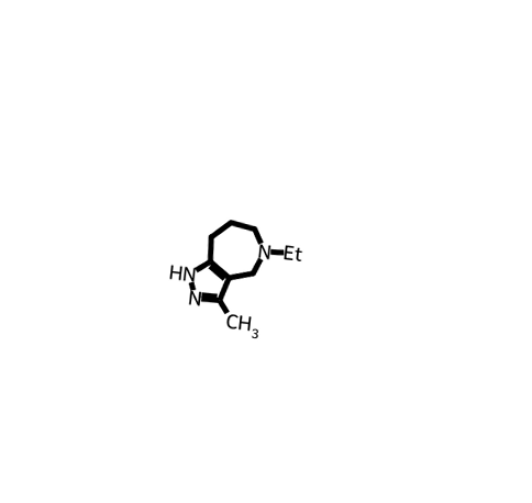 CCN1CCCc2[nH]nc(C)c2C1